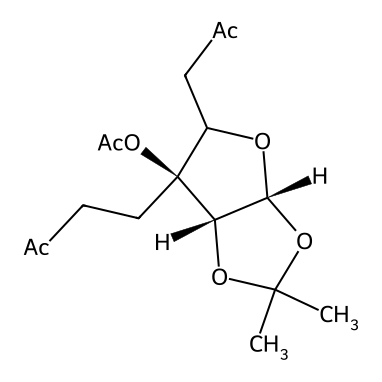 CC(=O)CC[C@]1(OC(C)=O)C(CC(C)=O)O[C@@H]2OC(C)(C)O[C@@H]21